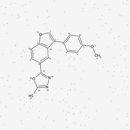 COc1ccc(-c2coc3ccc(-c4nnc(S)o4)cc23)cc1